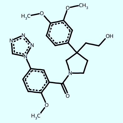 COc1ccc(C2(CCO)CCN(C(=O)c3cc(-n4cnnn4)ccc3OC)C2)cc1OC